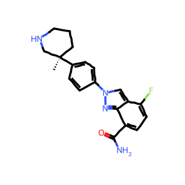 C[C@@]1(c2ccc(-n3cc4c(F)ccc(C(N)=O)c4n3)cc2)CCCNC1